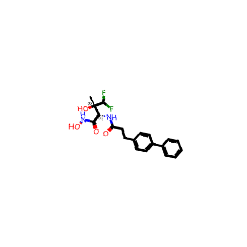 C[C@@](O)(C(F)F)[C@H](NC(=O)CCc1ccc(-c2ccccc2)cc1)C(=O)NO